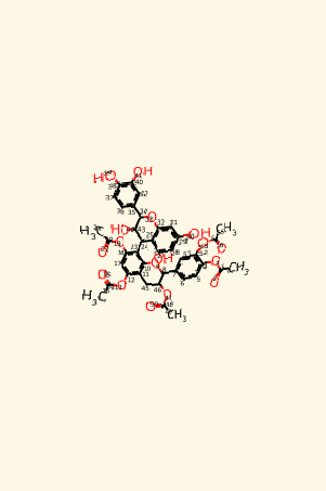 CC(=O)Oc1ccc(C2Oc3c(c(OC(C)=O)cc(OC(C)=O)c3C3c4c(O)cc(O)cc4OC(c4ccc(O)c(O)c4)C3O)CC2OC(C)=O)cc1OC(C)=O